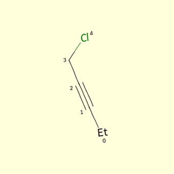 CCC#CCCl